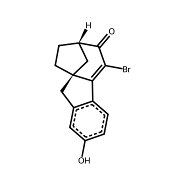 O=C1C(Br)=C2c3ccc(O)cc3C[C@]23CC[C@H]1C3